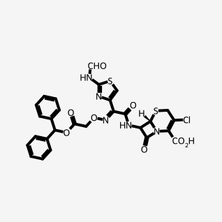 O=CNc1nc(C(=NOCC(=O)OC(c2ccccc2)c2ccccc2)C(=O)NC2C(=O)N3C(C(=O)O)=C(Cl)CS[C@@H]23)cs1